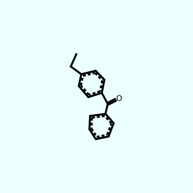 CCc1ccc(C(=O)c2ccccc2)cc1